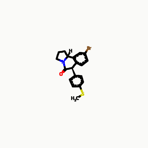 CSc1ccc([C@H]2C(=O)N3CCC[C@@H]3c3cc(Br)ccc32)cc1